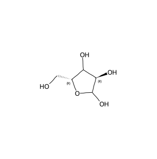 OC[C@H]1OC(O)[C@H](O)C1O